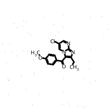 CCc1nc2ncc(Cl)cn2c1C(=O)c1ccc(OC)cc1